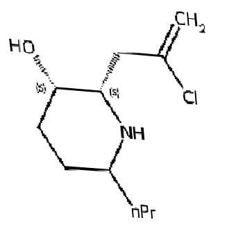 C=C(Cl)C[C@@H]1NC(CCC)CC[C@@H]1O